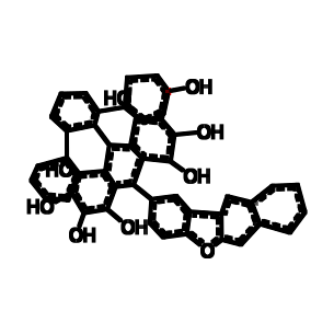 OCc1c(O)c(O)c2c(-c3ccc4oc5cc6ccccc6cc5c4c3)c3c(O)c(O)c(O)c(O)c3c(-c3c(-c4ccccc4)cccc3-c3ccccc3)c2c1O